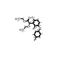 CCOC(=O)[C@H](OCC)c1c(F)ccc(Oc2ccc(F)cc2)c1F